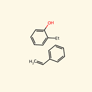 C=Cc1ccccc1.CCc1ccccc1O